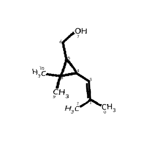 CC(C)=CC1C(CO)C1(C)C